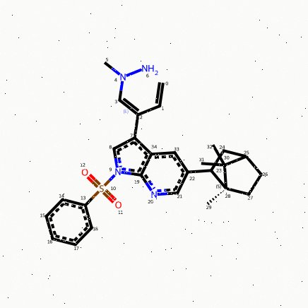 C=C/C(=C\N(C)N)c1cn(S(=O)(=O)c2ccccc2)c2ncc(C3CC4CC[C@]3(C)C4(C)C)cc12